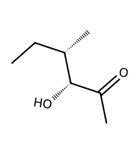 CC[C@H](C)[C@@H](O)C(C)=O